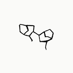 CC1CC(C2CC3CCC(C3)C2C)C2CCC1C2